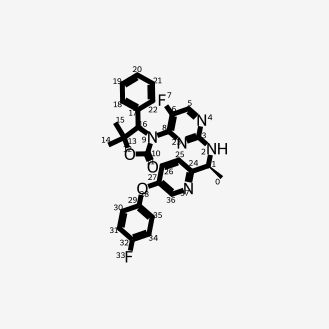 C[C@H](Nc1ncc(F)c(N2C(=O)OC(C)(C)C2c2ccccc2)n1)c1ccc(Oc2ccc(F)cc2)cn1